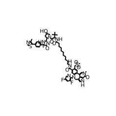 Cc1ncsc1-c1ccc([C@]2(C)NC(C3C[C@@H](O)CN3C(=O)[C@@H](NC(=O)CCCCCCCCCCNC(=O)c3cc4c(cc3CS(C)(=O)=O)-c3cn(C)c(=O)c5[nH]cc(c35)CN4c3ncc(F)cc3F)C(C)(C)C)=NC2=O)cc1